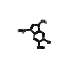 COc1cc2c(C(=O)O)cn(C)c2cc1Br